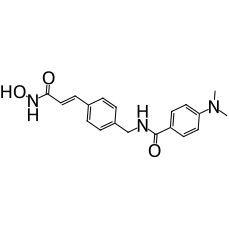 CN(C)c1ccc(C(=O)NCc2ccc(/C=C/C(=O)NO)cc2)cc1